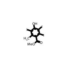 COC(=O)c1c(C)c(I)c(O)c(I)c1I